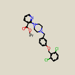 CC(C)OC(=O)c1cccnc1N1CCN(Cc2cccc(OCc3c(Cl)cccc3Cl)c2)CC1